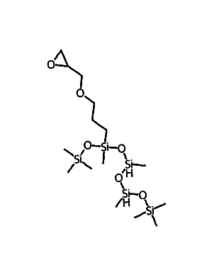 C[SiH](O[SiH](C)O[Si](C)(CCCOCC1CO1)O[Si](C)(C)C)O[Si](C)(C)C